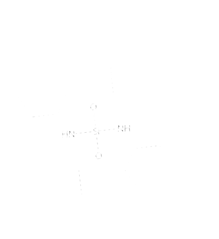 CCO[Si](NC(CC)CC)(NC(CC)CC)OCC